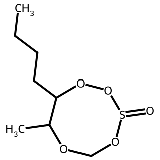 CCCCC1OOS(=O)OCOC1C